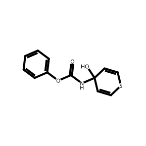 O=C(NC1(O)C=CSC=C1)Oc1ccccc1